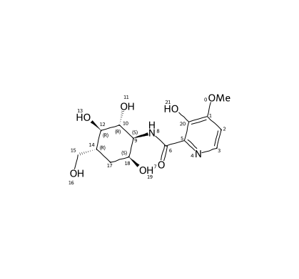 COc1ccnc(C(=O)N[C@@H]2[C@@H](O)[C@H](O)[C@@H](CO)C[C@@H]2O)c1O